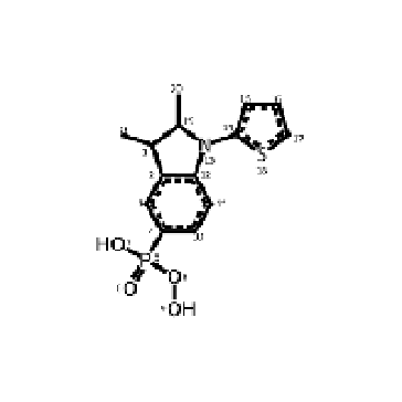 CC1c2cc(P(=O)(O)OO)ccc2N(c2cccs2)C1C